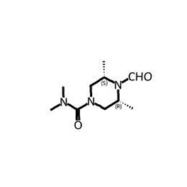 C[C@@H]1CN(C(=O)N(C)C)C[C@H](C)N1C=O